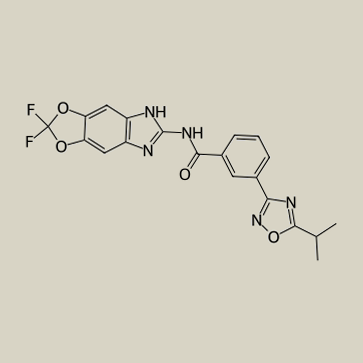 CC(C)c1nc(-c2cccc(C(=O)Nc3nc4cc5c(cc4[nH]3)OC(F)(F)O5)c2)no1